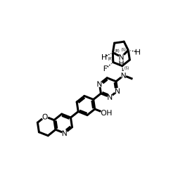 CN(c1cnc(-c2ccc(-c3cnc4c(c3)OCCC4)cc2O)nn1)[C@H]1C[C@@H]2CC[C@@H](N2)[C@H]1F